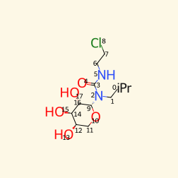 CC(C)CN(C(=O)NCCCl)[C@@H]1OC[C@@H](O)[C@@H](O)[C@@H]1O